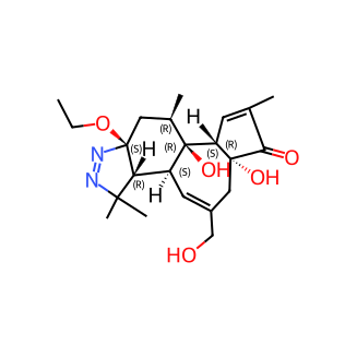 CCO[C@@]12C[C@@H](C)[C@@]3(O)[C@@H](C=C(CO)C[C@]4(O)C(=O)C(C)=C[C@@H]34)[C@@H]1C(C)(C)N=N2